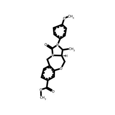 COC(=O)c1ccc2c(c1)OC[C@@H]1C(C)N(c3ccc(OC)cc3)C(=O)N1C2